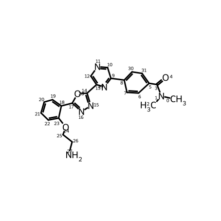 CN(C)C(=O)c1ccc(-c2cncc(-c3nnc(-c4ccccc4OCCN)o3)n2)cc1